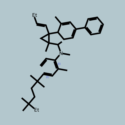 C=C/C(=C(C)\C=C\C(C)(C)CCC(C)(C)CC)N(C)C(C)C1(C)CC1(C=CCC)C1CC=C(c2ccccc2)C=C1C